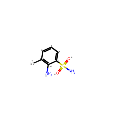 CCc1cccc(S(N)(=O)=O)c1N